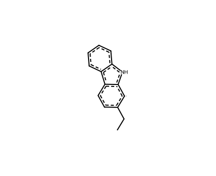 CCc1[c]c2[nH]c3ccccc3c2cc1